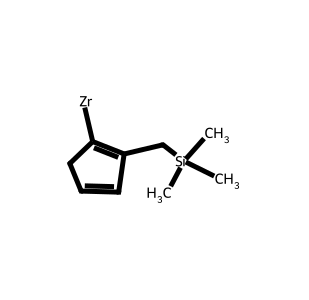 C[Si](C)(C)CC1=[C]([Zr])CC=C1